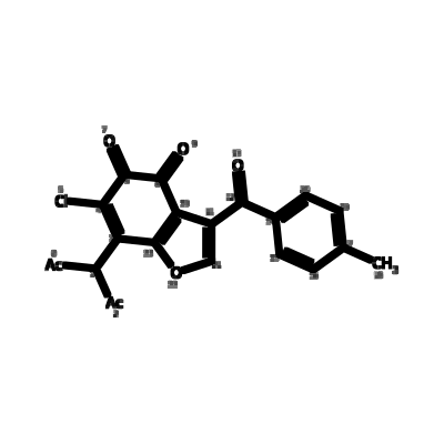 CC(=O)C(C(C)=O)C1=C(Cl)C(=O)C(=O)c2c(C(=O)c3ccc(C)cc3)coc21